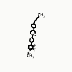 CCCCCC1CCC([C@H]2CC[C@H]([C@H]3CC[C@H](c4ccc(OCC)c(F)c4F)CC3)OC2)CC1